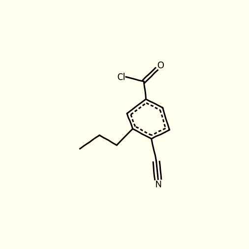 CCCc1cc(C(=O)Cl)ccc1C#N